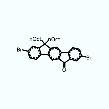 CCCCCCCCC1(CCCCCCCC)c2cc(Br)ccc2-c2cc3c(cc21)-c1ccc(Br)cc1C3=O